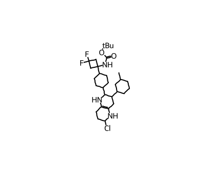 CC1CCCC(C2CC3=C(CCC(Cl)N3)NC2C2CCC(C3(NC(=O)OC(C)(C)C)CC(F)(F)C3)CC2)C1